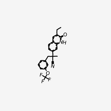 CCc1cc2ccc(C(C)(C#N)Cc3cccc(OC(F)(F)F)c3)cc2[nH]c1=O